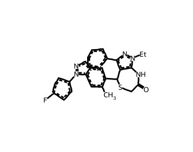 CCn1nc(-c2ccccn2)c2c1NC(=O)CSC2c1cc2cnn(-c3ccc(F)cc3)c2cc1C